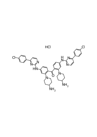 Cl.NC1CCN(c2cc(Nc3nccc(-c4ccc(Cl)cc4)n3)ccc2C(=O)c2ccc(Nc3nccc(-c4ccc(Cl)cc4)n3)cc2N2CCC(N)CC2)CC1